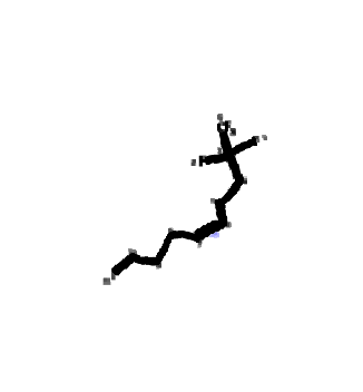 FC(F)(F)C(F)(F)CC/C=C\CCCI